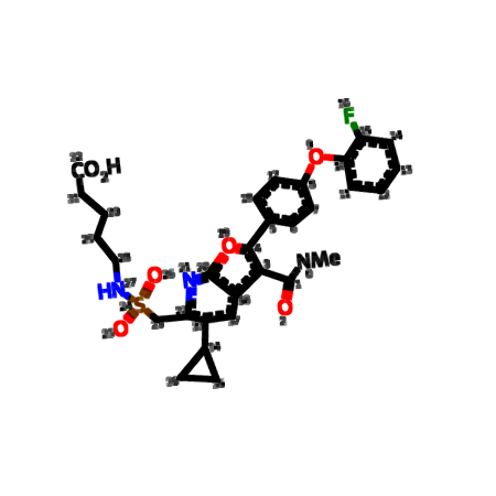 CNC(=O)c1c(-c2ccc(Oc3ccccc3F)cc2)oc2nc(CS(=O)(=O)NCCCCC(=O)O)c(C3CC3)cc12